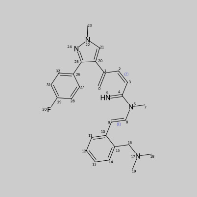 C=C(/C=C\C(=N)N(C)/C=C/c1ccccc1CN(C)C)c1cn(C)nc1-c1ccc(F)cc1